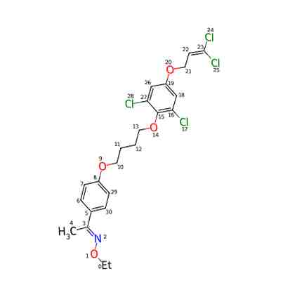 CCON=C(C)c1ccc(OCCCCOc2c(Cl)cc(OCC=C(Cl)Cl)cc2Cl)cc1